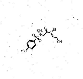 CCN(CCC#N)C(=O)CN(C)S(=O)(=O)c1ccc(C(C)(C)C)cc1